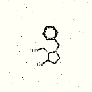 CC(C)(C)C1CCN(Cc2ccccc2)[C@@H]1CO